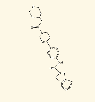 O=C(CC1CCOCC1)N1CC=C(c2ccc(NC(=O)N3Cc4ccncc4C3)cc2)CC1